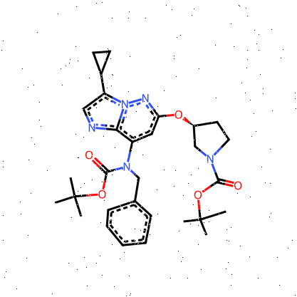 CC(C)(C)OC(=O)N1CC[C@H](Oc2cc(N(Cc3ccccc3)C(=O)OC(C)(C)C)c3ncc(C4CC4)n3n2)C1